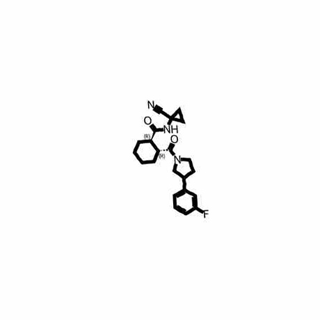 N#CC1(NC(=O)[C@@H]2CCCC[C@H]2C(=O)N2CCC(c3cccc(F)c3)C2)CC1